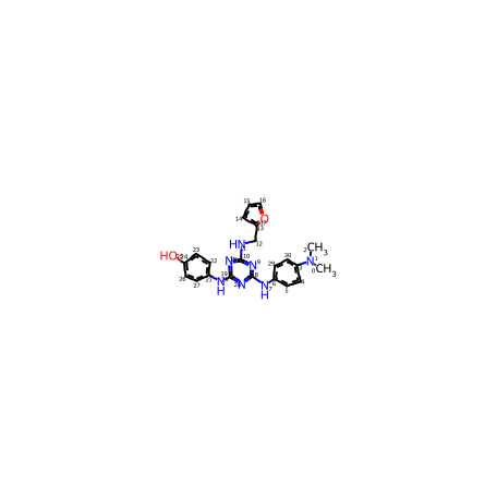 CN(C)c1ccc(Nc2nc(NCc3ccco3)nc(Nc3ccc(O)cc3)n2)cc1